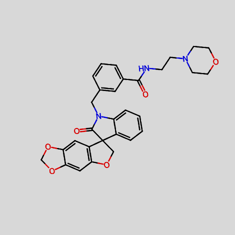 O=C(NCCN1CCOCC1)c1cccc(CN2C(=O)C3(COc4cc5c(cc43)OCO5)c3ccccc32)c1